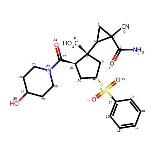 N#CC1(C(N)=O)CC1[C@]1(C(=O)O)C[C@H](S(=O)(=O)c2ccccc2)C[C@H]1C(=O)N1CCC(O)CC1